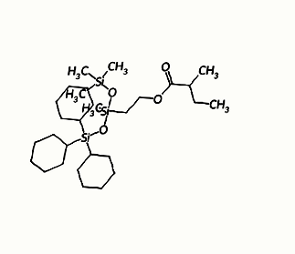 CCC(C)C(=O)OCC[Si](C)(O[Si](C)(C)C)O[Si](C1CCCCC1)(C1CCCCC1)C1CCCCC1